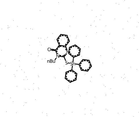 CCCCn1c([S][Sn]([c]2ccccc2)([c]2ccccc2)[c]2ccccc2)nc2ccccc2c1=O